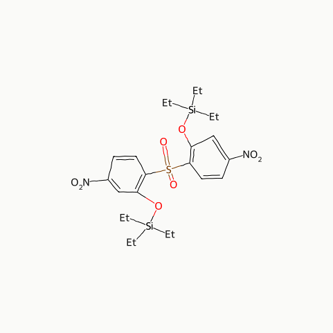 CC[Si](CC)(CC)Oc1cc([N+](=O)[O-])ccc1S(=O)(=O)c1ccc([N+](=O)[O-])cc1O[Si](CC)(CC)CC